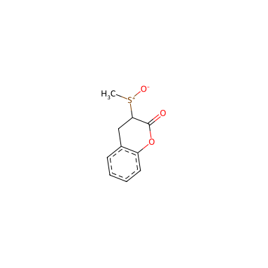 C[S+]([O-])C1Cc2ccccc2OC1=O